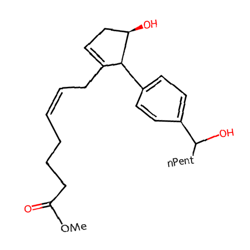 CCCCCC(O)c1ccc(C2C(C/C=C\CCCC(=O)OC)=CC[C@H]2O)cc1